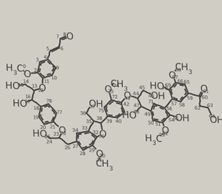 COc1cc(C=CC=O)ccc1OC(CO)C(O)c1ccc(OC(CO)Cc2cc(OC)c3c(c2)C(CO)C(c2ccc(OC(CO)C(O)c4cc(OC)c(O)c(-c5cc(C(=O)CCO)cc(OC)c5O)c4)c(OC)c2)O3)cc1